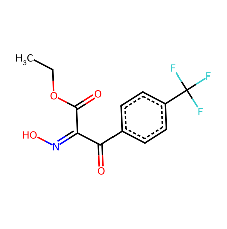 CCOC(=O)/C(=N\O)C(=O)c1ccc(C(F)(F)F)cc1